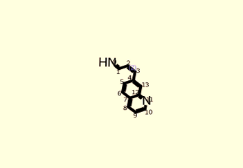 N=C/C=C\c1ccc2cccnc2c1